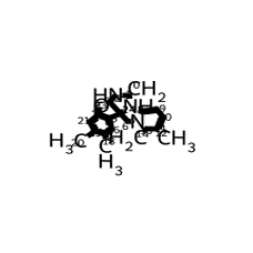 C=C1NC(=O)C(CN2C=CC=C(C)C2=C)(c2cc(C)c(C)cc2F)N1